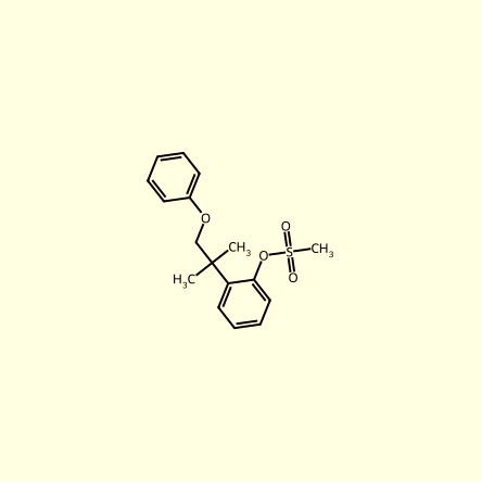 CC(C)(COc1ccccc1)c1ccccc1OS(C)(=O)=O